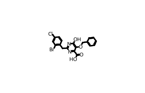 O=C(O)c1nc(Cc2ccc(Cl)cc2Br)nc(O)c1OCc1ccccc1